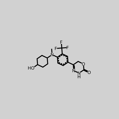 CN(c1ccc(C2=NNC(=O)OC2)cc1C(F)(F)F)C1CCC(O)CC1